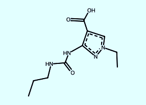 CCCNC(=O)Nc1nn(CC)cc1C(=O)O